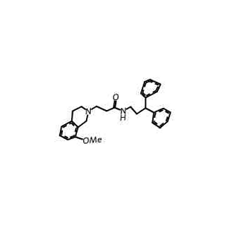 COc1cccc2c1CN(CCC(=O)NCCC(c1ccccc1)c1ccccc1)CC2